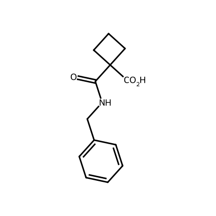 O=C(O)C1(C(=O)NCc2ccccc2)CCC1